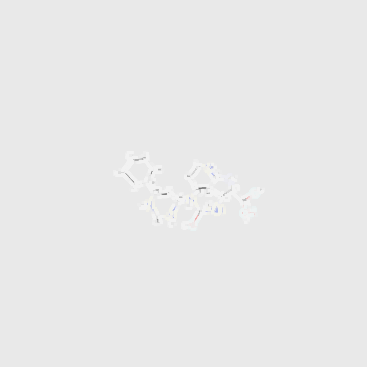 O=C(O)c1sc2nccc3c2c1NC(=O)N3c1cc(-c2ccccc2)ncn1